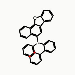 c1ccc(-c2ccccc2N(c2ccccc2)c2cc3c4ccccc4oc3c3ccccc23)cc1